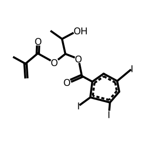 C=C(C)C(=O)OC(OC(=O)c1cc(I)cc(I)c1I)C(C)O